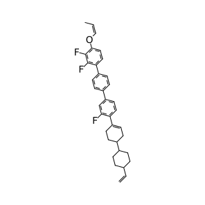 C=CC1CCC(C2CC=C(c3ccc(-c4ccc(-c5ccc(O/C=C\C)c(F)c5F)cc4)cc3F)CC2)CC1